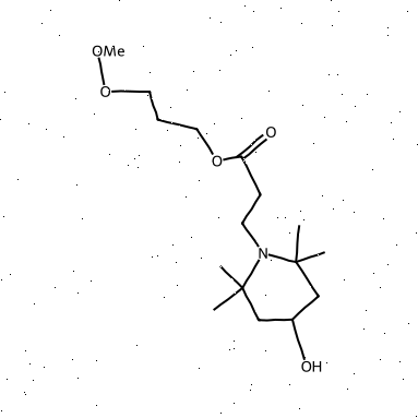 COOCCCOC(=O)CCN1C(C)(C)CC(O)CC1(C)C